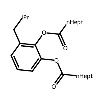 CCCCCCCC(=O)Oc1cccc(CC(C)C)c1OC(=O)CCCCCCC